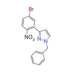 O=[N+]([O-])c1ccc(Br)cc1-c1ccn(Cc2ccccc2)n1